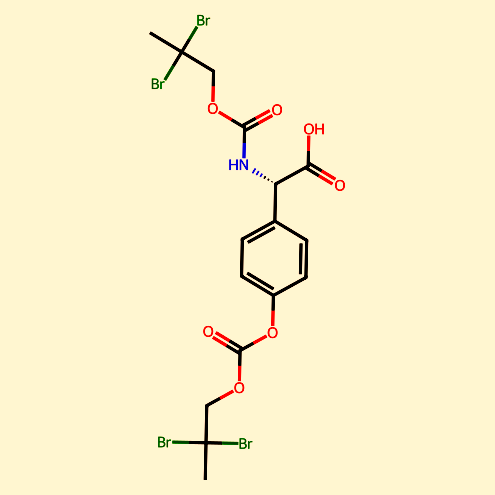 CC(Br)(Br)COC(=O)N[C@H](C(=O)O)c1ccc(OC(=O)OCC(C)(Br)Br)cc1